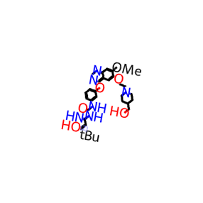 COc1cc2ncnc(Oc3cccc(NC(=O)NC(=N)/C=C(\O)C(C)(C)C)c3)c2cc1OCCN1CCC(CO)CC1